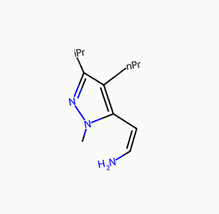 CCCc1c(C(C)C)nn(C)c1/C=C\N